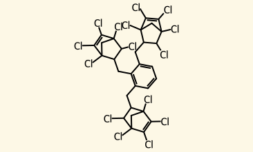 ClC1=C(Cl)C2(Cl)CC1(Cl)C(Cl)C2Cc1cccc(CC2C(Cl)C3(Cl)CC2(Cl)C(Cl)=C3Cl)c1CC1C(Cl)C2(Cl)CC1(Cl)C(Cl)=C2Cl